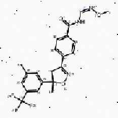 CO/N=C\NC(=O)c1ccc(C2=NOC(C)(c3cc(C)cc(C(F)(F)F)c3)C2)cc1